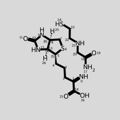 N=C(CCC[C@@H]1SC[C@@H]2NC(=O)N[C@@H]21)C(=O)O.NC(=O)CNCCS